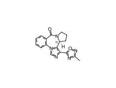 Cc1noc(-c2ncn3c2[C@@H]2CCCN2C(=O)c2ccccc2-3)n1